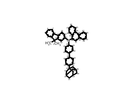 CC1(C)c2ccccc2-c2ccc(N(c3ccc(-c4ccc(C56CC7CC(CC(C7)C5)C6)cc4)cc3)c3cc4ccccc4c4ccccc34)cc21